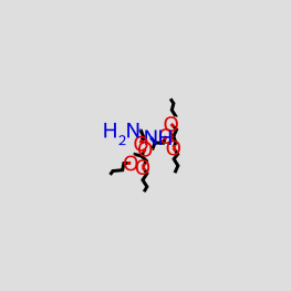 CCCCOCC(COCCCC)OCC(COC(COCCCC)COCCCC)NC(=O)CN